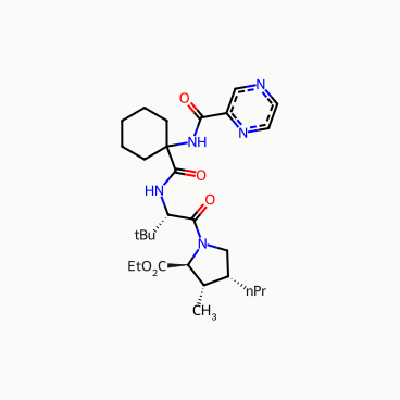 CCC[C@H]1CN(C(=O)[C@@H](NC(=O)C2(NC(=O)c3cnccn3)CCCCC2)C(C)(C)C)[C@H](C(=O)OCC)[C@H]1C